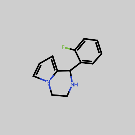 Fc1ccccc1C1NCCn2cccc21